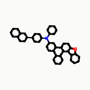 c1ccc(N(c2ccc(-c3ccc4ccccc4c3)cc2)c2ccc3c4ccccc4c4c(ccc5oc6ccccc6c54)c3c2)cc1